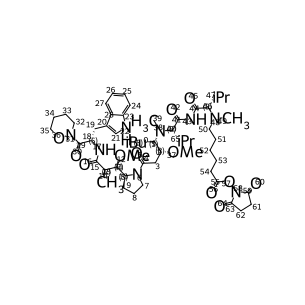 CC[C@H](C)[C@@H]([C@@H](CC(=O)N1CCC[C@H]1[C@H](OC)[C@@H](C)C(=O)N[C@@H](Cc1c[nH]c2ccccc12)C(=O)N1CCCCO1)OC)N(C)[C@H](C(=O)NC(=O)[C@H](C(C)C)N(C)CCCCCC(=O)ON1C(=O)CCC1=O)C(C)C